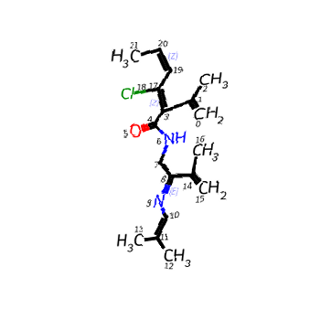 C=C(C)/C(C(=O)NC/C(=N/C=C(C)C)C(=C)C)=C(Cl)\C=C/C